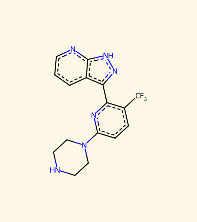 FC(F)(F)c1ccc(N2CCNCC2)nc1-c1n[nH]c2ncccc12